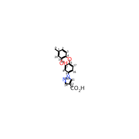 Cc1ccc(Oc2ccc(-n3cc(C(=O)O)cn3)cc2)c(O)c1